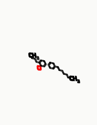 CCCCCCC[C@H]1CC[C@H](C2CCC(CCCC)C(=O)C2)CC1